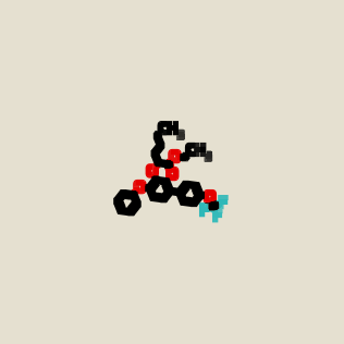 CCCCC(Oc1cc(-c2ccc(OC(F)(F)F)cc2)ccc1Oc1ccccc1)C(=O)OCC